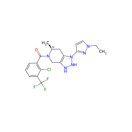 CCn1ccc(N2NNC3=C2C[C@H](C)N(C(=O)c2cccc(C(F)(F)F)c2Cl)C3)n1